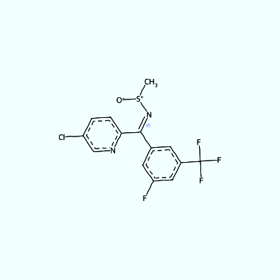 C[S+]([O-])/N=C(/c1cc(F)cc(C(F)(F)F)c1)c1ccc(Cl)cn1